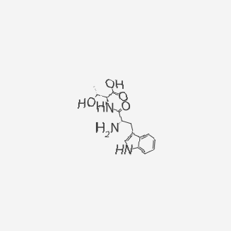 C[C@@H](O)[C@H](NC(=O)[C@@H](N)Cc1c[nH]c2ccccc12)C(=O)O